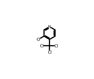 [O]c1cnccc1C(Cl)(Cl)Cl